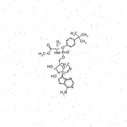 C/N=C\[C@@]1(c2ccc3c(N)ncnn23)O[C@H](COP(=O)(N[C@@H](C)C(=O)OC)Oc2ccc(C(C)(C)C)cc2)[C@@H](O)[C@H]1O